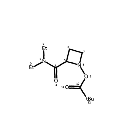 CCN(CC)C(=O)C1CCN1OC(=O)C(C)(C)C